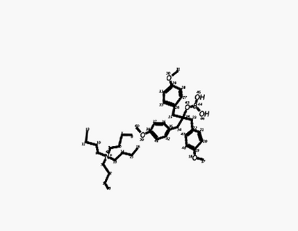 CCCC[N+](CCCC)(CCCC)CCCC.COc1ccc(CC(Cc2ccc(OC)cc2)(Cc2ccc(OC)cc2)OB(O)O)cc1